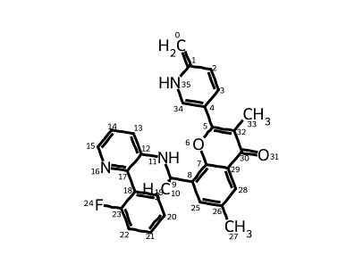 C=C1C=CC(c2oc3c([C@@H](C)Nc4cccnc4-c4ccccc4F)cc(C)cc3c(=O)c2C)=CN1